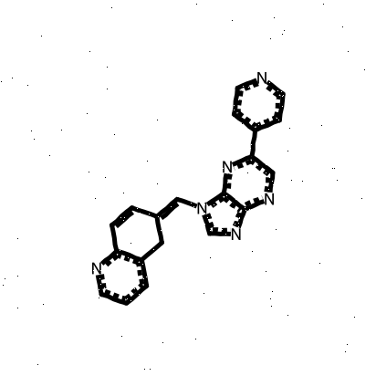 C1=Cc2ncccc2CC1=Cn1cnc2ncc(-c3ccncc3)nc21